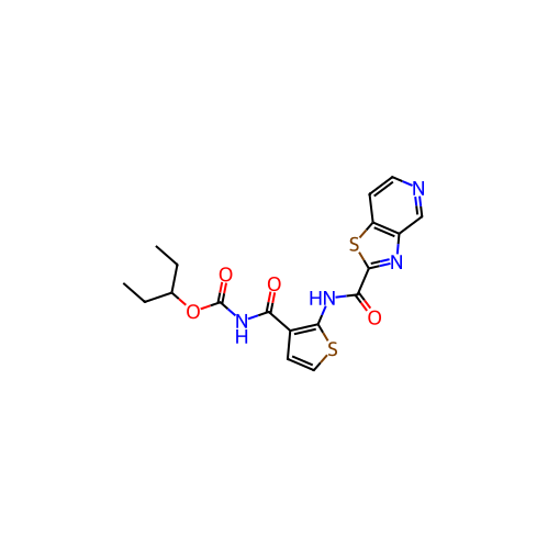 CCC(CC)OC(=O)NC(=O)c1ccsc1NC(=O)c1nc2cnccc2s1